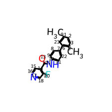 Cc1ccc(C)c(-c2ccc(NC(=O)c3ccncc3F)cc2)c1